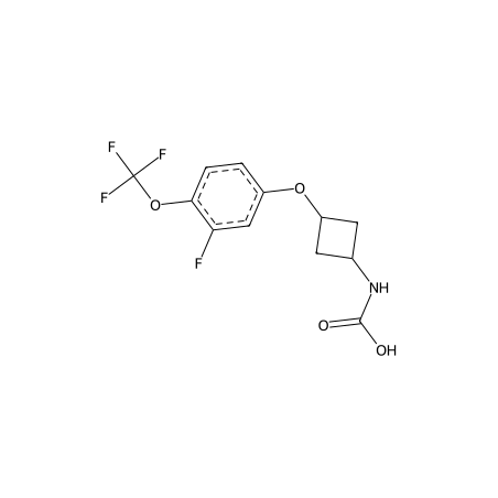 O=C(O)NC1CC(Oc2ccc(OC(F)(F)F)c(F)c2)C1